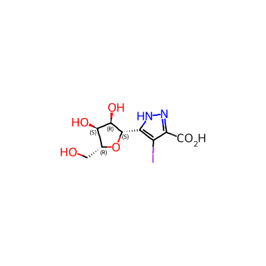 O=C(O)c1n[nH]c([C@@H]2O[C@H](CO)[C@@H](O)[C@H]2O)c1I